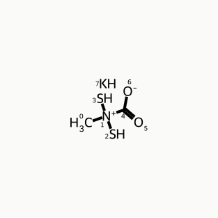 C[N+](S)(S)C(=O)[O-].[KH]